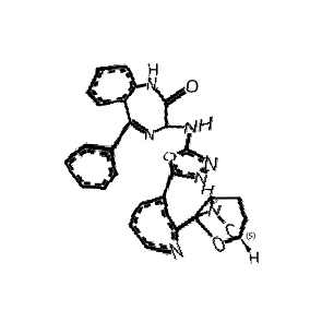 O=C1Nc2ccccc2C(c2ccccc2)=NC1Nc1nnc(-c2cccnc2N2C[C@@H]3CC[C@H]2CO3)o1